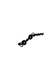 CCCCCC=CCOc1ccc(C#Cc2ccc(OCC)cc2)cc1